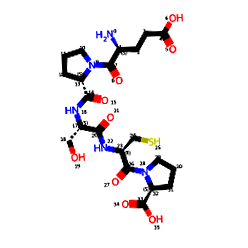 N[C@@H](CCC(=O)O)C(=O)N1CCC[C@H]1C(=O)N[C@@H](CO)C(=O)N[C@@H](CS)C(=O)N1CCC[C@H]1C(=O)O